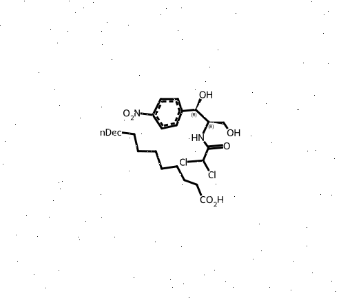 CCCCCCCCCCCCCCCCCC(=O)O.O=C(N[C@H](CO)[C@H](O)c1ccc([N+](=O)[O-])cc1)C(Cl)Cl